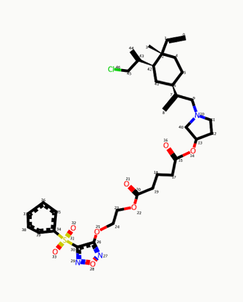 C=C[C@]1(C)CC[C@@H](C(=C)CN2CCC(OC(=O)CCCC(=O)OCCOc3nonc3S(=O)(=O)c3ccccc3)C2)C[C@H]1C(=C)CCl